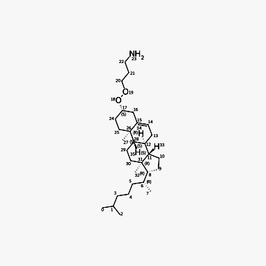 CC(C)CCC[C@@H](C)[C@H]1CC[C@H]2[C@@H]3CC=C4C[C@@H](OOCCCN)CC[C@]4(C)[C@H]3CC[C@]12C